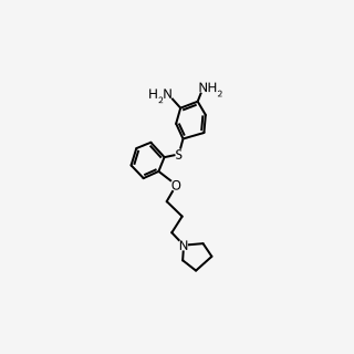 Nc1ccc(Sc2ccccc2OCCCN2CCCC2)cc1N